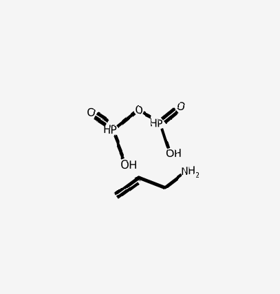 C=CCN.O=[PH](O)O[PH](=O)O